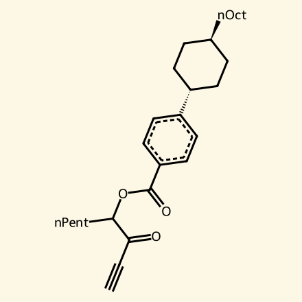 C#CC(=O)C(CCCCC)OC(=O)c1ccc([C@H]2CC[C@H](CCCCCCCC)CC2)cc1